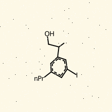 [CH2]C(CO)c1cc(I)cc(CCC)c1